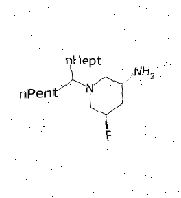 CCCCCCCC(CCCCC)N1C[C@H](N)C[C@@H](F)C1